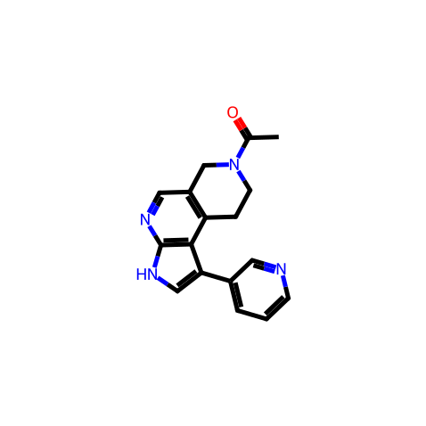 CC(=O)N1CCc2c(cnc3[nH]cc(-c4cccnc4)c23)C1